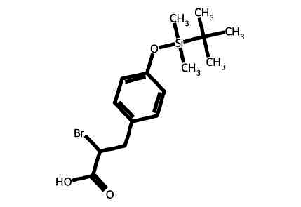 CC(C)(C)[Si](C)(C)Oc1ccc(CC(Br)C(=O)O)cc1